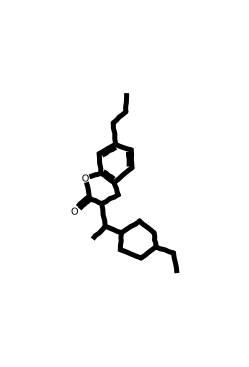 CCCc1ccc2c(c1)OC(=O)C(C(C)C1CCC(CC)CC1)C2